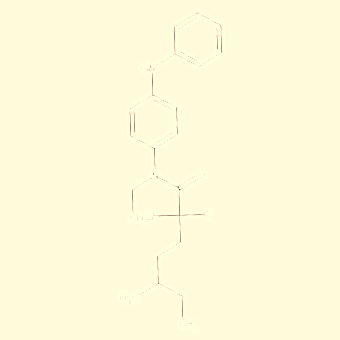 CCC(C)CCC(Cl)(Cl)C(=O)N(CC)c1ccc(Nc2ccccc2)cc1